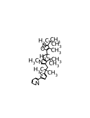 Cc1c(C(C)(C)C)noc1CCc1c(C(C)(C)C)c(CC(C)(C)c2ccc(-c3ccccn3)s2)cn1C